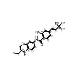 CC[C@H]1COc2cc(NC(=O)c3ccc(/C=C/C(F)(F)F)cc3F)ccc2N1